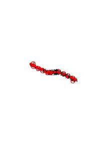 C=CC(=O)OCCCOCCCOCCCOc1ccc(C(C)(C)c2ccc(OCCCOCCCOCCCOC(=O)C=C)cc2)cc1